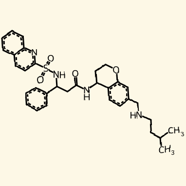 CC(C)CCNCc1ccc2c(c1)OCCC2NC(=O)CC(NS(=O)(=O)c1ccc2ccccc2n1)c1ccccc1